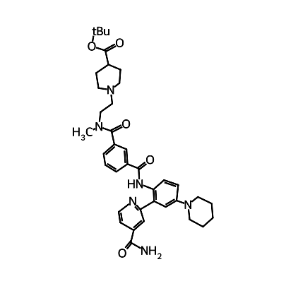 CN(CCN1CCC(C(=O)OC(C)(C)C)CC1)C(=O)c1cccc(C(=O)Nc2ccc(N3CCCCC3)cc2-c2cc(C(N)=O)ccn2)c1